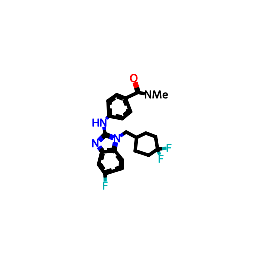 CNC(=O)c1ccc(Nc2nc3cc(F)ccc3n2CC2CCC(F)(F)CC2)cc1